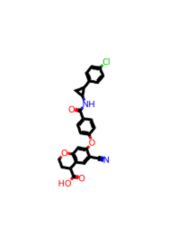 N#Cc1cc2c(cc1Oc1ccc(C(=O)NC3CC3c3ccc(Cl)cc3)cc1)OCCC2C(=O)O